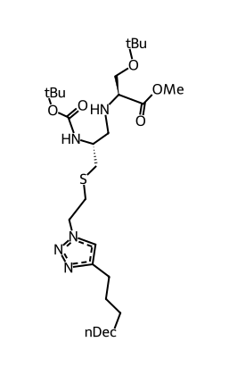 CCCCCCCCCCCCCc1cn(CCSC[C@@H](CN[C@@H](COC(C)(C)C)C(=O)OC)NC(=O)OC(C)(C)C)nn1